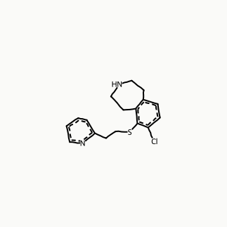 Clc1ccc2c(c1SCCc1ccccn1)CCNCC2